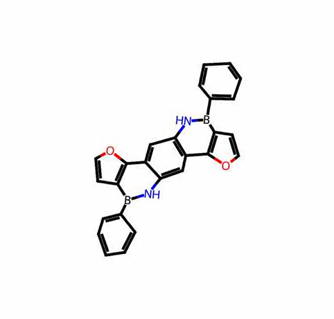 c1ccc(B2Nc3cc4c(cc3-c3occc32)NB(c2ccccc2)c2ccoc2-4)cc1